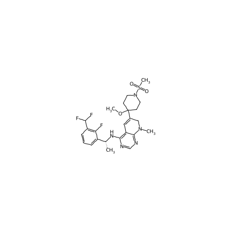 COC1(C2=Cc3c(N[C@H](C)c4cccc(C(F)F)c4F)ncnc3N(C)C2)CCN(S(C)(=O)=O)CC1